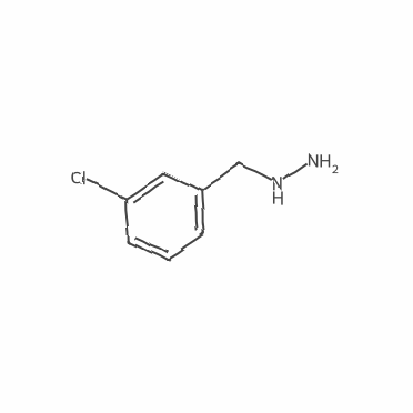 NNCc1cccc(Cl)c1